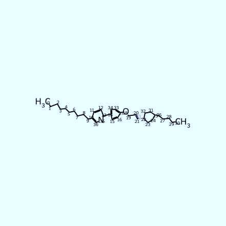 CCCCCCCCCCc1ccc(-c2ccc(OC/C=C/[C@H]3CC[C@H](CCCCC)CC3)cc2)nc1